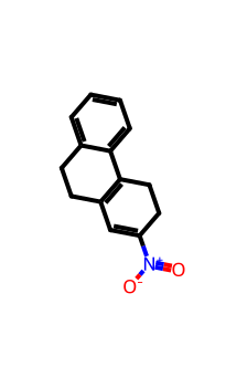 O=[N+]([O-])C1=CC2=C(CC1)c1ccccc1CC2